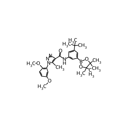 COc1ccc(OC)c(-n2nnc(C(=O)Nc3cc(B4OC(C)(C)C(C)(C)O4)cc(C(C)(C)C)c3)c2C)c1